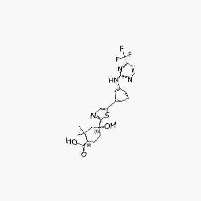 CC1(C)C[C@](O)(c2ncc(-c3cccc(Nc4nccc(C(F)(F)F)n4)c3)s2)CC[C@H]1C(=O)O